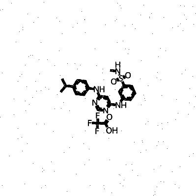 CNS(=O)(=O)c1cccc(Nc2cc(Nc3ccc(C(C)C)cc3)ncn2)c1.O=C(O)C(F)(F)F